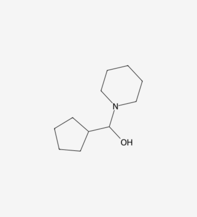 OC(C1CCCC1)N1CCCCC1